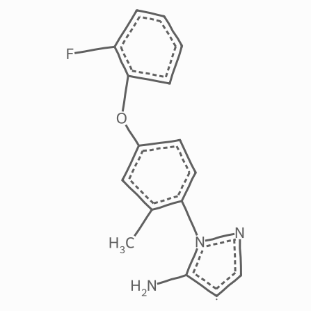 Cc1cc(Oc2ccccc2F)ccc1-n1nc[c]c1N